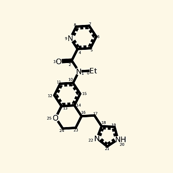 CCN(C(=O)c1ccccn1)c1ccc2c(c1)C(Cc1c[nH]cn1)CCO2